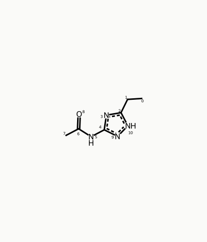 CCc1nc(NC(C)=O)n[nH]1